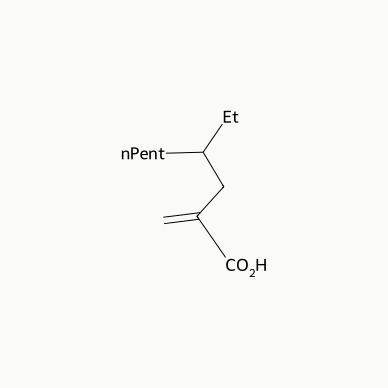 C=C(CC(CC)CCCCC)C(=O)O